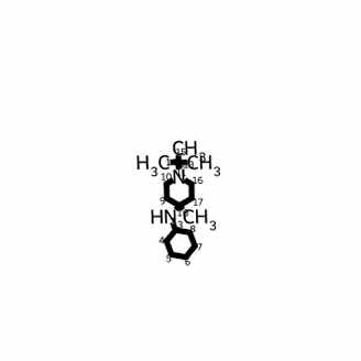 CC1(NC2CCCCC2)CCN(C(C)(C)C)CC1